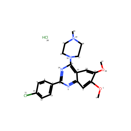 COc1cc2nc(-c3ccc(Cl)cc3)nc(N3CCN(C)CC3)c2cc1OC.Cl